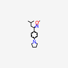 CO/N=C(\CC(C)C)c1ccc(N2CCCC2)cc1